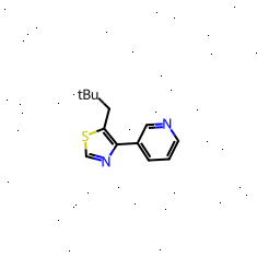 CC(C)(C)Cc1scnc1-c1cccnc1